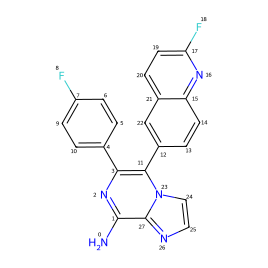 Nc1nc(-c2ccc(F)cc2)c(-c2ccc3nc(F)ccc3c2)n2ccnc12